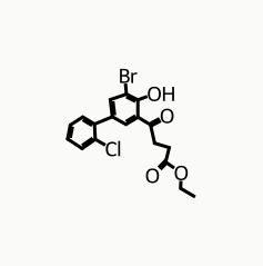 CCOC(=O)CCC(=O)c1cc(-c2ccccc2Cl)cc(Br)c1O